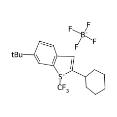 CC(C)(C)c1ccc2cc(C3CCCCC3)[s+](C(F)(F)F)c2c1.F[B-](F)(F)F